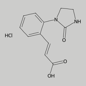 Cl.O=C(O)C=Cc1ccccc1N1CCNC1=O